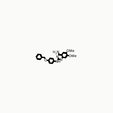 COc1cc2nc(Nc3ccc(OCc4ccccc4)cc3)nc(N)c2cc1OC